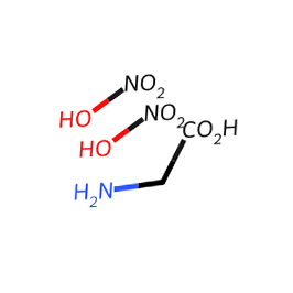 NCC(=O)O.O=[N+]([O-])O.O=[N+]([O-])O